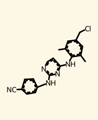 Cc1cc(CCl)cc(C)c1Nc1ccnc(Nc2ccc(C#N)cc2)n1